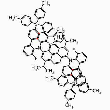 Cc1ccc([Si](c2ccc(C)cc2)(c2ccc(C)cc2)c2ccc(-c3cccc(F)c3N(c3cc(C(C)C)c4ccc5c(N(c6c(F)cccc6-c6ccc([Si](c7ccc(C)cc7)(c7ccc(C)cc7)c7ccc(C)cc7)cc6)c6cccc7c6oc6ccccc67)cc(C(C)C)c6ccc3c4c65)c3cccc4c3oc3ccccc34)cc2)cc1